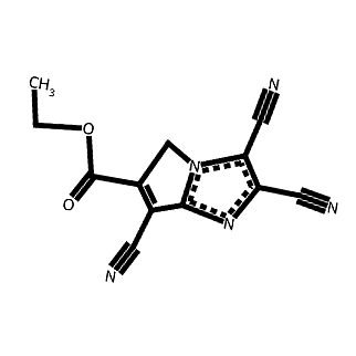 CCOC(=O)C1=C(C#N)c2nc(C#N)c(C#N)n2C1